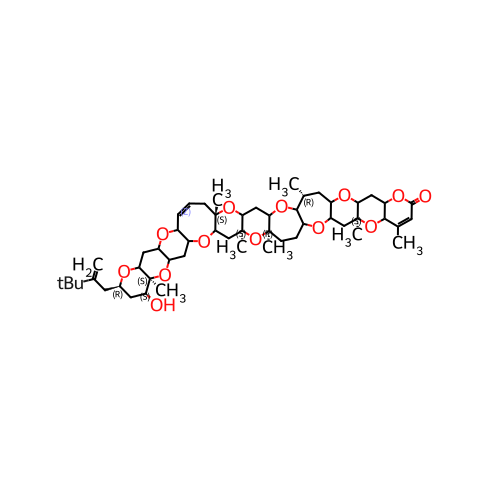 C=C(C[C@@H]1C[C@H](O)[C@]2(C)OC3CC4OC5C[C@]6(C)O[C@]7(C)CCC8OC9C[C@]%10(C)OC%11C(C)=CC(=O)OC%11CC%10OC9C[C@@H](C)C8OC7CC6O[C@@]5(C)C/C=C\C4OC3CC2O1)C(C)(C)C